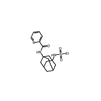 CCS(=O)(=O)NC12CC3CC(CC(NC(=O)c4ccccn4)(C3)C1)C2